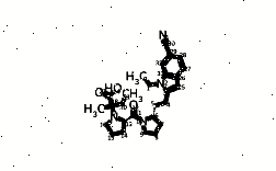 CCn1c(CC[C@@H]2CCCN2C(=O)[C@H]2CCCN2C(C)(CC)C(=O)O)cc2ccc(C#N)cc21